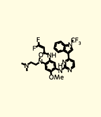 COc1cc(N(C)CCN(C)C)c(NC(=O)C=C(F)F)cc1Nc1nccc(-c2cn(C(F)(F)F)c3ccccc23)n1